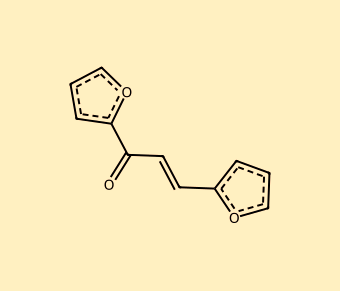 O=C(C=Cc1ccco1)c1ccco1